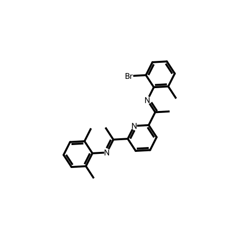 CC(=Nc1c(C)cccc1C)c1cccc(C(C)=Nc2c(C)cccc2Br)n1